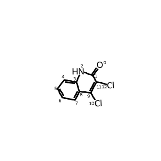 O=c1[nH]c2ccccc2c(Cl)c1Cl